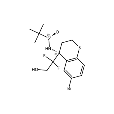 CC(C)(C)[S@@+]([O-])N[C@]1(C(F)(F)CO)CCSc2ccc(Br)cc21